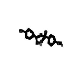 Cc1ccc(S(=O)(=O)N=C(N)c2ccc(Cl)cc2)cc1